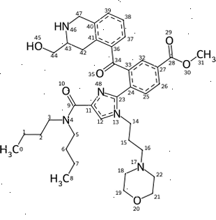 CCCCN(CCCC)C(=O)c1cn(CCCN2CCOCC2)c(-c2ccc(C(=O)OC)cc2C(=O)c2cccc3c2CC(CO)NC3)n1